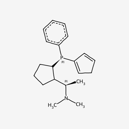 C[C@H](C1CCCC1[P@](C1=CCC=C1)c1ccccc1)N(C)C